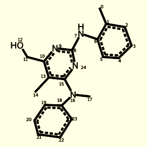 Cc1ccccc1Nc1nc(CO)c(C)c(N(C)c2ccccc2)n1